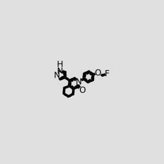 O=c1c2c(c(-c3cn[nH]c3)cn1-c1ccc(OCF)cc1)CCCC2